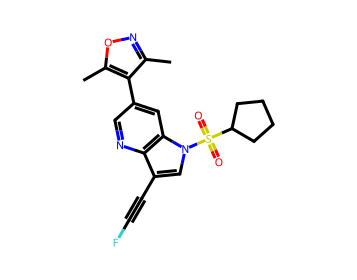 Cc1noc(C)c1-c1cnc2c(C#CF)cn(S(=O)(=O)C3CCCC3)c2c1